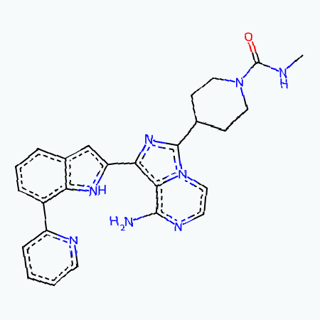 CNC(=O)N1CCC(c2nc(-c3cc4cccc(-c5ccccn5)c4[nH]3)c3c(N)nccn23)CC1